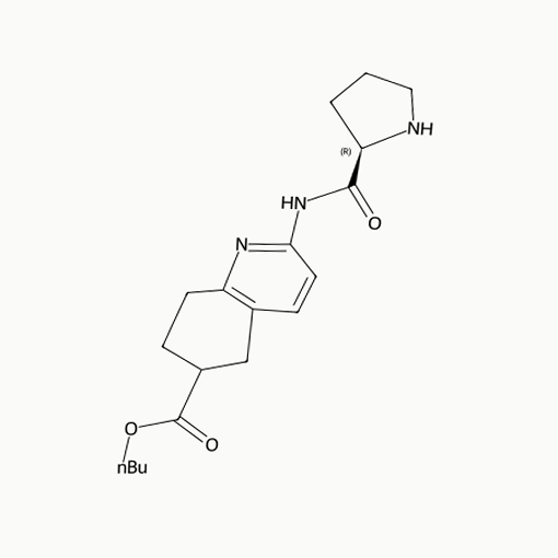 CCCCOC(=O)C1CCc2nc(NC(=O)[C@H]3CCCN3)ccc2C1